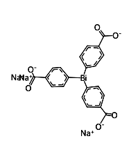 O=C([O-])c1cc[c]([Bi]([c]2ccc(C(=O)[O-])cc2)[c]2ccc(C(=O)[O-])cc2)cc1.[Na+].[Na+].[Na+]